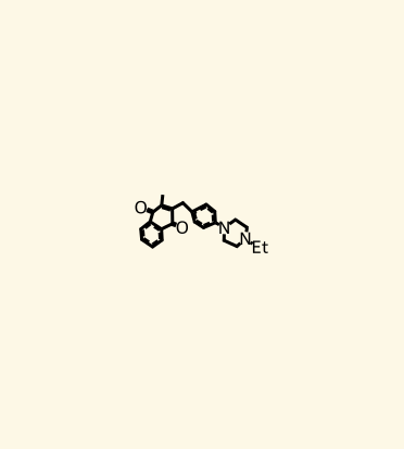 CCN1CCN(c2ccc(CC3=C(C)C(=O)c4ccccc4C3=O)cc2)CC1